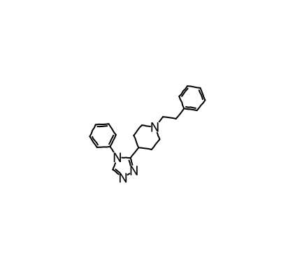 c1ccc(CCN2CCC(c3nncn3-c3ccccc3)CC2)cc1